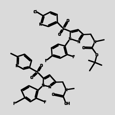 CN(Cc1cc(S(=O)(=O)c2ccc(Cl)nc2)n(-c2ccc(F)cc2F)n1)C(=O)OC(C)(C)C.Cc1ccc(S(=O)(=O)c2cc(CN(C)C(=O)O)nn2-c2ccc(F)cc2F)cn1